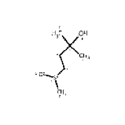 C[S+]([O-])CCC(C)(C)O